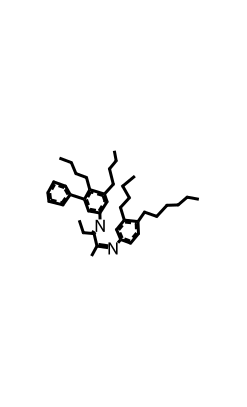 CCCCCCc1ccc(N=C(C)C(CC)=Nc2cc(CCCC)c(CCCC)c(-c3ccccc3)c2)cc1CCCC